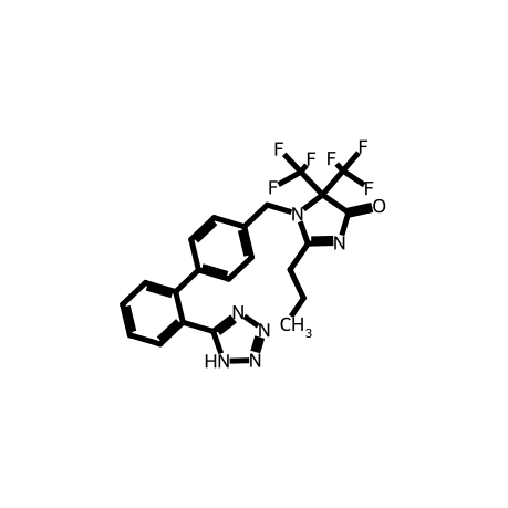 CCCC1=NC(=O)C(C(F)(F)F)(C(F)(F)F)N1Cc1ccc(-c2ccccc2-c2nnn[nH]2)cc1